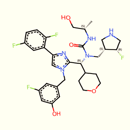 C[C@@H](CO)NC(=O)N(C[C@@H]1CNC[C@@H]1F)[C@@H](c1nc(-c2cc(F)ccc2F)cn1Cc1cc(O)cc(F)c1)C1CCOCC1